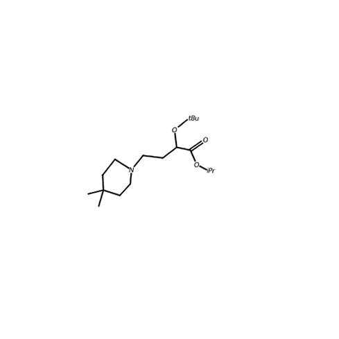 CC(C)OC(=O)C(CCN1CCC(C)(C)CC1)OC(C)(C)C